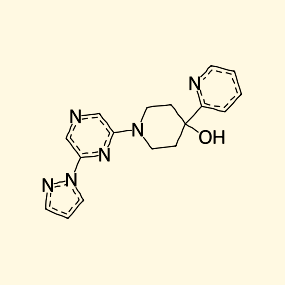 OC1(c2ccccn2)CCN(c2cncc(-n3cccn3)n2)CC1